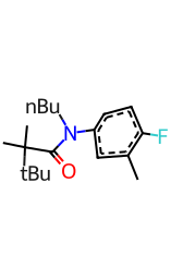 CCCCN(C(=O)C(C)(C)C(C)(C)C)c1ccc(F)c(C)c1